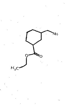 CCOC(=O)C1CCCC(C[NH])C1